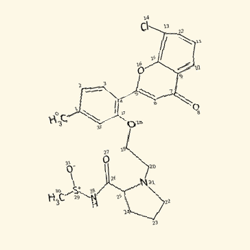 Cc1ccc(-c2cc(=O)c3cccc(Cl)c3o2)c(OCCN2CCCC2C(=O)N[S+](C)[O-])c1